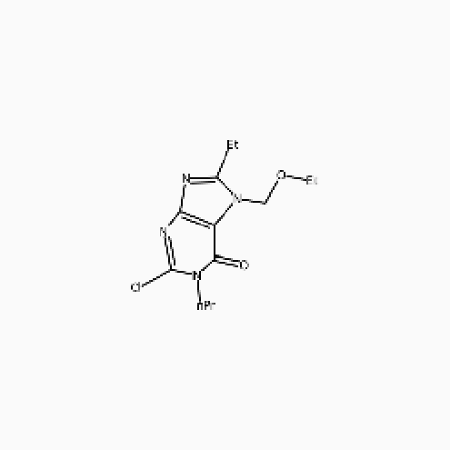 CCCn1c(Cl)nc2nc(CC)n(COCC)c2c1=O